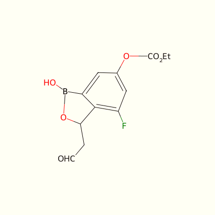 CCOC(=O)Oc1cc(F)c2c(c1)B(O)OC2CC=O